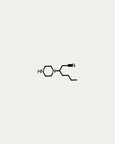 CCCCC(CC#N)N1CCNCC1